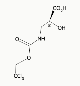 O=C(NC[C@H](O)C(=O)O)OCC(Cl)(Cl)Cl